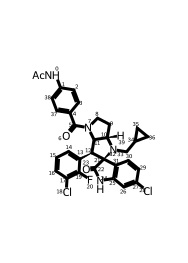 CC(=O)Nc1ccc(C(=O)N2CC[C@H]3C2[C@H](c2cccc(Cl)c2F)[C@]2(C(=O)Nc4cc(Cl)ccc42)N3CC2CC2)cc1